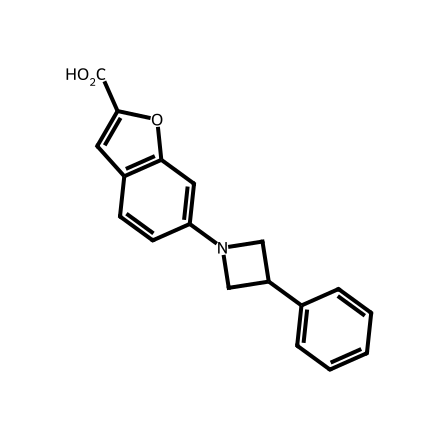 O=C(O)c1cc2ccc(N3CC(c4ccccc4)C3)cc2o1